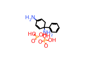 NC1=CCC(N)(c2ccccc2)C=C1.O=P(O)(O)OP(=O)(O)O